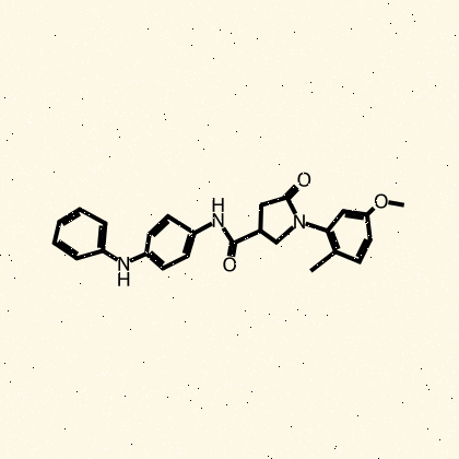 COc1ccc(C)c(N2CC(C(=O)Nc3ccc(Nc4ccccc4)cc3)CC2=O)c1